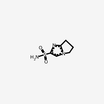 NS(=O)(=O)c1cn2c(n1)CCC2